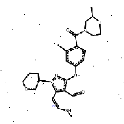 CN/C=C\c1c(C=O)c(Nc2ccc(C(=O)N3CCOC(C)C3)c(C)c2)nn1C1CCCOC1